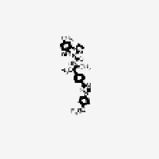 CCCc1ccc(C)cc1N1CCS/C1=N\C(=O)N/C(C)=C(\C)c1ccc(-c2ncn(-c3ccc(OC(F)(F)F)cc3)n2)cc1